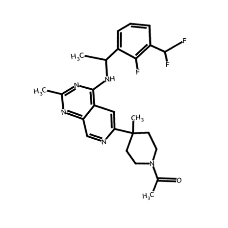 CC(=O)N1CCC(C)(c2cc3c(NC(C)c4cccc(C(F)F)c4F)nc(C)nc3cn2)CC1